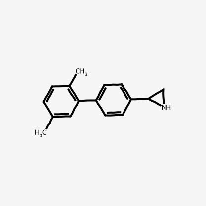 Cc1ccc(C)c(-c2ccc(C3CN3)cc2)c1